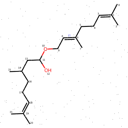 CC(C)=CCC/C(C)=C/COC(O)CC(C)CCC=C(C)C